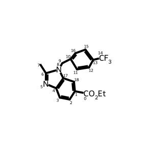 CCOC(=O)c1ccc2nc(C)n(Cc3ccc(C(F)(F)F)cc3)c2c1